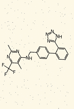 Cc1nc(NCc2ccc(-c3ccccc3-c3nnn[nH]3)cc2)c(C)c(C(F)(F)F)n1